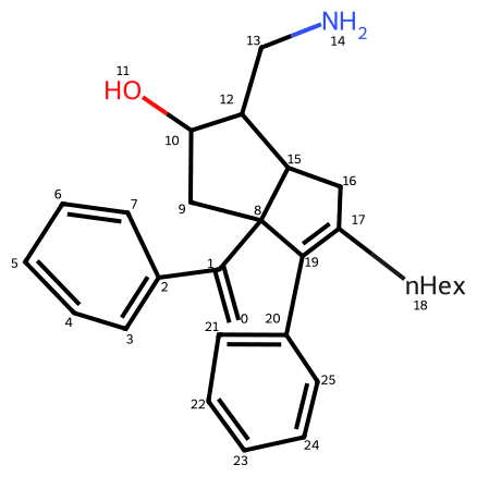 C=C(c1ccccc1)C12CC(O)C(CN)C1CC(CCCCCC)=C2c1ccccc1